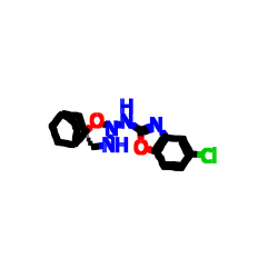 Clc1ccc2oc(NN3NC[C@]4(CC5CCC4CC5)O3)nc2c1